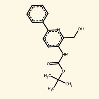 CC(C)(C)OC(=O)Nc1ccc(-c2ccccc2)nc1CO